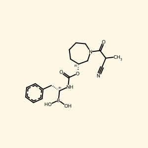 CC(C#N)C(=O)N1CCCC[C@@H](OC(=O)N[C@@H](Cc2ccccc2)B(O)O)C1